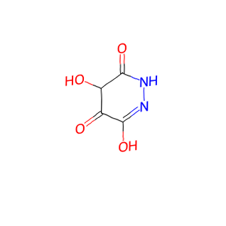 O=C1NN=C(O)C(=O)C1O